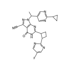 CC(c1cnc(C2CC2)nc1)n1nc(C#N)c2c(=O)[nH]c(C3CCC3c3ncc(F)cn3)nc21